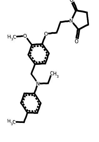 CCc1ccc(N(CC)Cc2ccc(OCCN3C(=O)CCC3=O)c(OC)c2)cc1